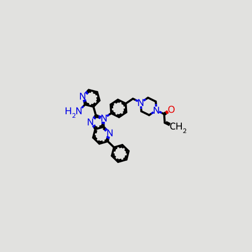 C=CC(=O)N1CCN(Cc2ccc(-n3c(-c4cccnc4N)nc4ccc(-c5ccccc5)nc43)cc2)CC1